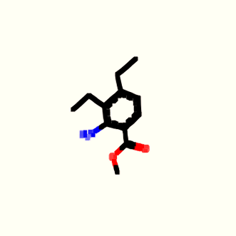 CCc1ccc(C(=O)OC)c(N)c1CC